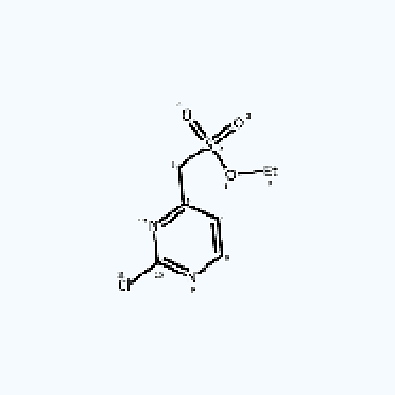 CCOS(=O)(=O)Cc1ccnc(Cl)n1